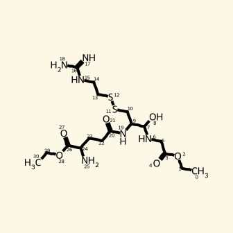 CCOC(=O)CNC(O)C(CSSCCNC(=N)N)NC(=O)CCC(N)C(=O)OCC